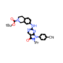 CC(C)n1c(=O)c2cnc(Nc3ccc4c(c3)CN(C(=O)OC(C)(C)C)CC4)nc2n1-c1ccc(C#N)cc1